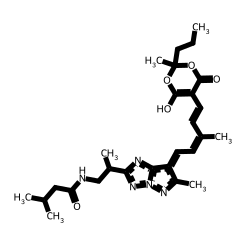 CCCC1(C)OC(=O)C(C=CC(C)=CC=c2c(C)nn3nc(C(C)CNC(=O)CC(C)C)nc23)=C(O)O1